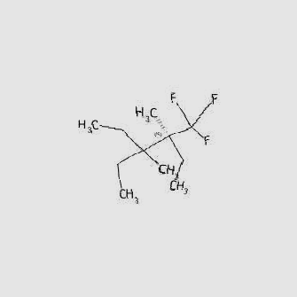 CCC(C)(CC)[C@](C)(CC)C(F)(F)F